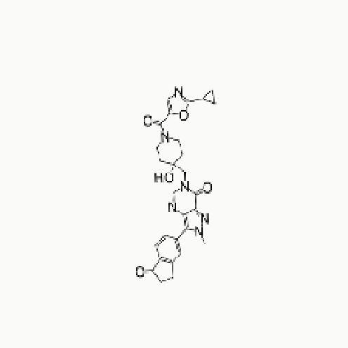 Cn1nc2c(=O)n(CC3(O)CCN(C(=O)c4cnc(C5CC5)o4)CC3)cnc2c1-c1ccc2c(c1)CCC2=O